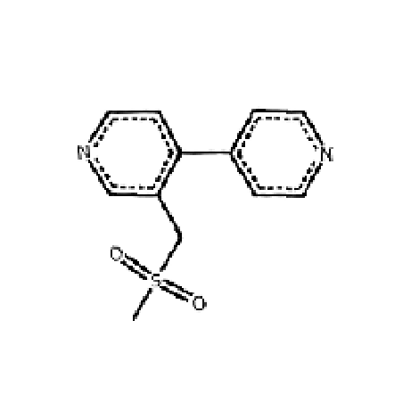 CS(=O)(=O)Cc1cnccc1-c1ccncc1